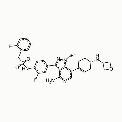 CC(C)n1nc(-c2ccc(NS(=O)(=O)Cc3ccccc3F)c(F)c2)c2c(N)ncc(C3=CC[C@@H](NC4COC4)CC3)c21